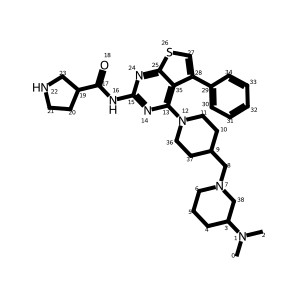 CN(C)C1CCCN(CC2CCN(c3nc(NC(=O)C4CCNC4)nc4scc(-c5ccccc5)c34)CC2)C1